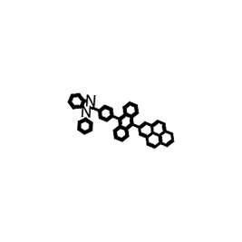 C1=CC2=C3C(=CC=C4C=C(c5c6ccccc6c(-c6ccc(-c7nc8ccccc8n7-c7ccccc7)cc6)c6ccccc56)C=C(C=C2)C43)C1